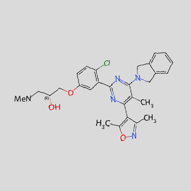 CNC[C@@H](O)COc1ccc(Cl)c(-c2nc(-c3c(C)noc3C)c(C)c(N3Cc4ccccc4C3)n2)c1